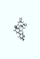 O=C1CNCCC2c3c(c(-c4ccc(F)nc4)cc[n+]3[O-])CCN12